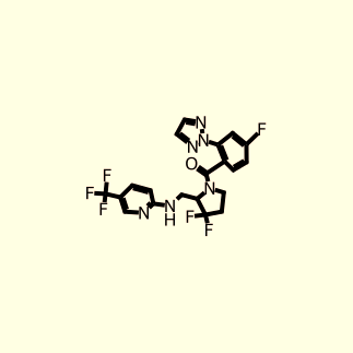 O=C(c1ccc(F)cc1-n1nccn1)N1CCC(F)(F)C1CNc1ccc(C(F)(F)F)cn1